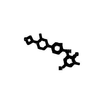 CC1CN(c2ccc(Nc3cc(Br)cn(C)c3=O)nc2)CCN1C1COC1